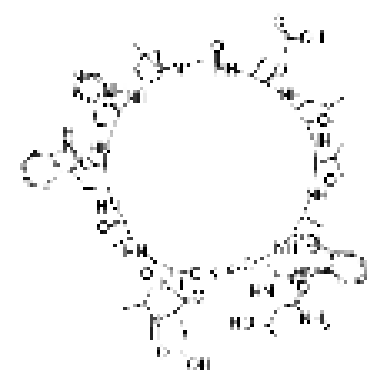 CC(C)C[C@@H]1NC(=O)[C@H](Cc2cnc[nH]2)NC(=O)[C@H](Cc2c[nH]c3ccccc23)NC(=O)[C@H](C)NC(=O)[C@@H](NC(=O)[C@H](CC(=O)O)NC(C)C)CSSC[C@@H](C(=O)N[C@H](C(N)=O)[C@@H](C)O)NC(=O)[C@H](Cc2c[nH]c3ccccc23)NC(=O)[C@H](C(C)C)NC(=O)[C@H](CC(C)C)NC(=O)[C@H](CCC(=O)O)NC(=O)CNC1=O